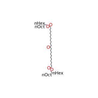 CCCCCCCCC(CCCCCC)COC(=O)CCCCCCCCCCCC(=O)CCCCCCCCCCCC(=O)OCC(CCCCCC)CCCCCCCC